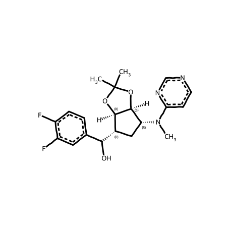 CN(c1ccncn1)[C@@H]1C[C@H](C(O)c2ccc(F)c(F)c2)[C@H]2OC(C)(C)O[C@H]21